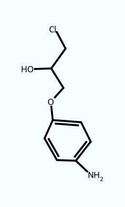 Nc1ccc(OCC(O)CCl)cc1